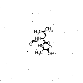 CC(C)C[C@H](NCC=O)C(=O)N[C@@H](C)C(=O)O